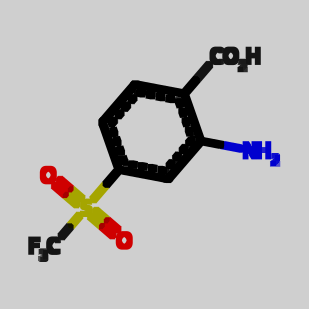 Nc1cc(S(=O)(=O)C(F)(F)F)ccc1C(=O)O